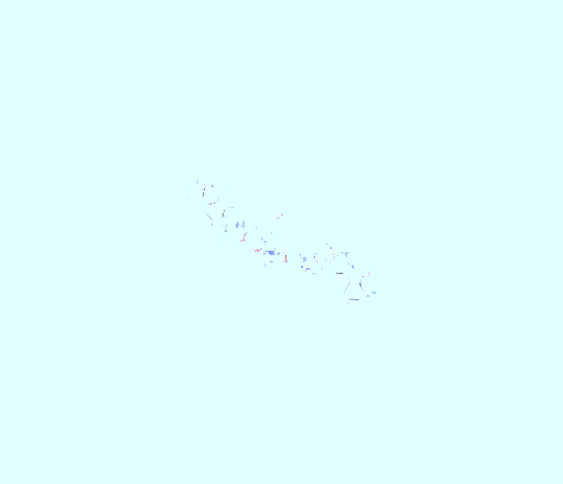 Cc1ncsc1-c1ccc(C(C)NC(=O)[C@@H]2C[C@@H](O)CN2C(=O)C(NC(=O)Cn2cc(-c3cc(-c4cccc(F)c4O)nnc3N)cn2)C(C)(C)C)cc1